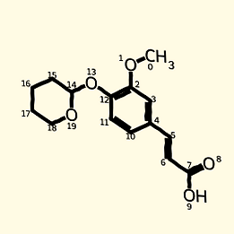 COc1cc(C=CC(=O)O)ccc1OC1CCCCO1